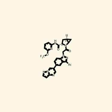 CC(=O)c1nn(CC(=O)N2C3C[C@@H]3C[C@H]2C(=O)Nc2cccc(OC(F)(F)F)n2)c2ccc(-c3cnc4ccnn4c3)cc12